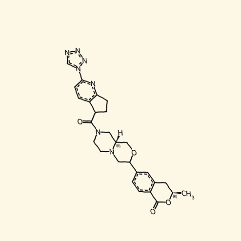 C[C@@H]1Cc2cc(C3CN4CCN(C(=O)C5CCc6nc(-n7cnnn7)ccc65)C[C@@H]4CO3)ccc2C(=O)O1